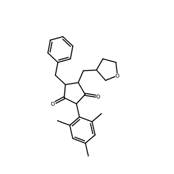 Cc1cc(C)c(C2C(=O)C(Cc3ccccc3)C(CC3CCOC3)C2=O)c(C)c1